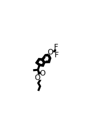 CCCCOC(=O)C(C)c1ccc2cc(OC(F)F)ccc2c1